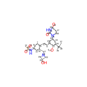 COc1c(C=Cc2ccc(NS(C)(=O)=O)cc2CN2CC(O)C2)cc(-n2ccc(=O)[nH]c2=O)cc1C(C)(C)C